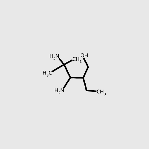 CCC(CO)C(N)C(C)(C)N